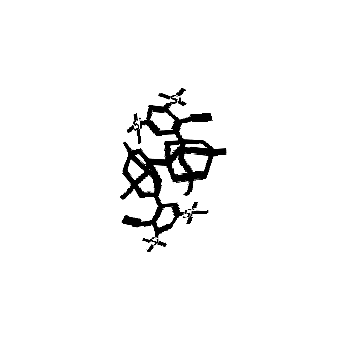 C#Cc1c(C23CC4(C)CC(C)(C2)CC(C25CC6(C)CC(C)(CC(c7cc([Si](C)(C)C)cc([Si](C)(C)C)c7C#C)(C6)C2)C5)(C4)C3)cc([Si](C)(C)C)cc1[Si](C)(C)C